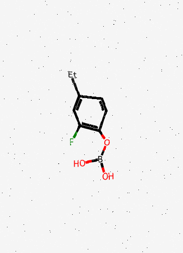 CCc1ccc(OB(O)O)c(F)c1